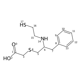 O=C(O)CSCC(Cc1ccccc1)NCCS